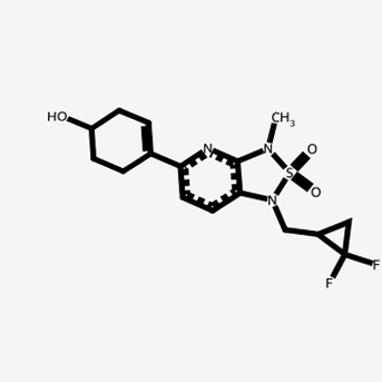 CN1c2nc(C3=CCC(O)CC3)ccc2N(CC2CC2(F)F)S1(=O)=O